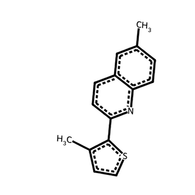 Cc1ccc2nc(-c3sccc3C)ccc2c1